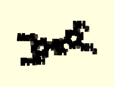 CC(C)c1nc(N)nc(N)n1.CSc1nc(NC(C)C)nc(NC(C)C)n1